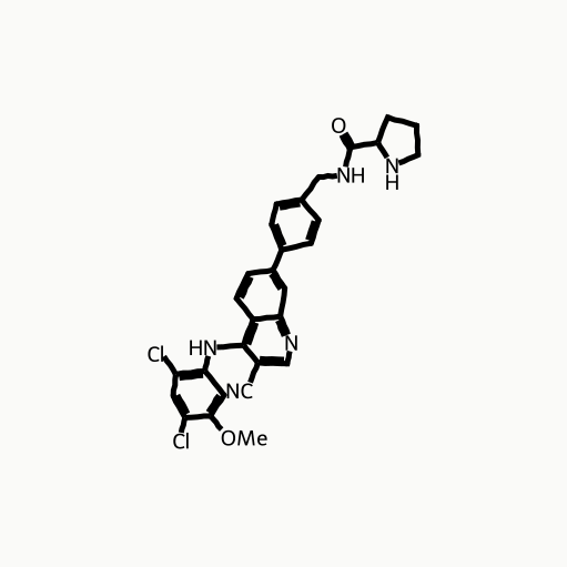 COc1cc(Nc2c(C#N)cnc3cc(-c4ccc(CNC(=O)C5CCCN5)cc4)ccc23)c(Cl)cc1Cl